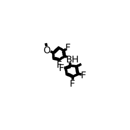 COc1cc(F)c(Bc2c(F)cc(F)c(F)c2C)c(F)c1